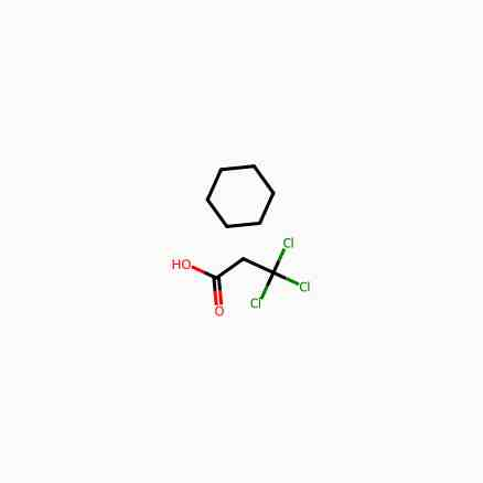 C1CCCCC1.O=C(O)CC(Cl)(Cl)Cl